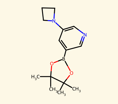 CC1(C)OB(c2cncc(N3CCC3)c2)OC1(C)C